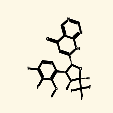 COc1c([C@H]2[C@H](c3cc(=O)c4cncnc4[nH]3)O[C@@](C)(C(F)(F)F)[C@H]2C)ccc(F)c1F